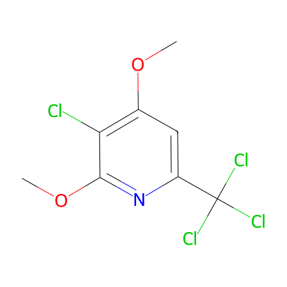 COc1cc(C(Cl)(Cl)Cl)nc(OC)c1Cl